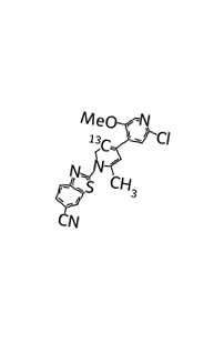 COc1cnc(Cl)cc1C1=[13CH]CN(c2nc3ccc(C#N)cc3s2)C(C)=C1